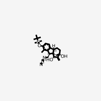 C=C1[C@H](O)[C@]23C[C@@]1(O)CC[C@H]2c1ccc(O[Si](C)(C)C(C)(C)C)c(C)c1[C@@H]3CN=[N+]=[N-]